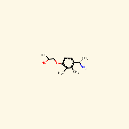 Cc1c(OCC(C)O)ccc([C@H](C)N)c1C